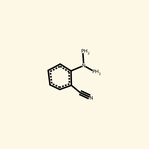 N#Cc1ccccc1N(P)P